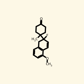 COc1cccc2c1C=CC(F)(C1(C)CCC(=O)CC1)C2